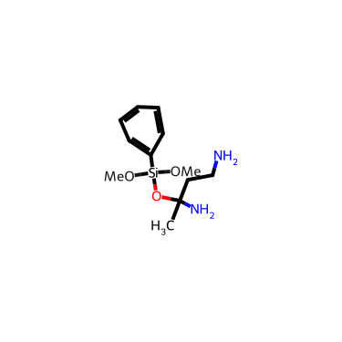 CO[Si](OC)(OC(C)(N)CCN)c1ccccc1